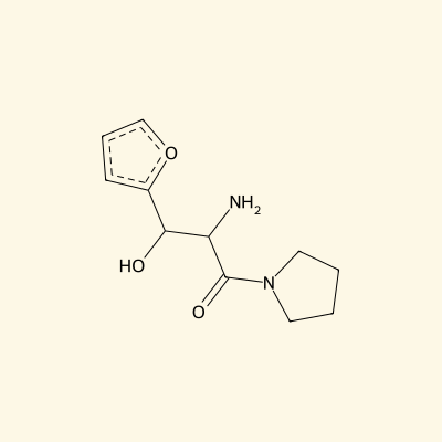 NC(C(=O)N1CCCC1)C(O)c1ccco1